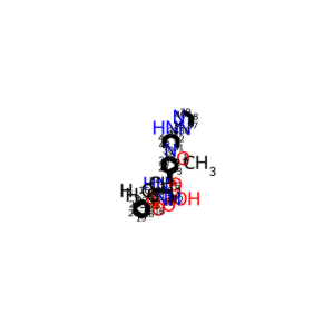 COc1cc(C(=O)NC(CC(=O)O)(NS(=O)(=O)c2ccccc2)C(C)(C)C)ccc1N1CCC(Nc2ncccn2)CC1